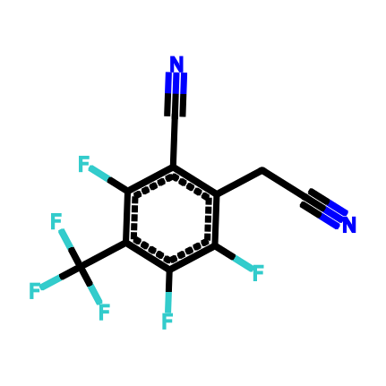 N#CCc1c(F)c(F)c(C(F)(F)F)c(F)c1C#N